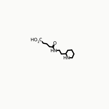 O=C(O)CCCC(=O)NCCC1CCCCN1